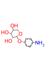 Nc1ccc(O[C@@H]2OC[C@H](O)C(O)[C@H]2O)cc1